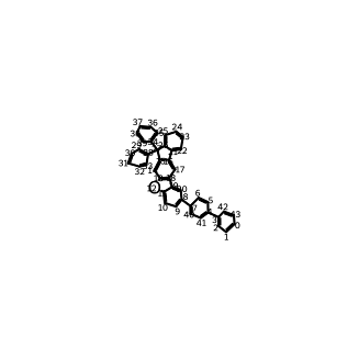 c1ccc(-c2ccc(-c3ccc4oc5cc6c(cc5c4c3)-c3ccccc3C6(c3ccccc3)c3ccccc3)cc2)cc1